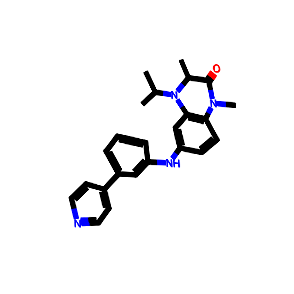 CC(C)N1c2cc(Nc3cccc(-c4ccncc4)c3)ccc2N(C)C(=O)C1C